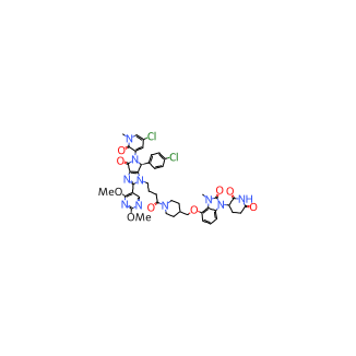 COc1ncc(-c2nc3c(n2CCCC(=O)N2CCC(COc4cccc5c4n(C)c(=O)n5C4CCC(=O)NC4=O)CC2)[C@H](c2ccc(Cl)cc2)N(c2cc(Cl)cn(C)c2=O)C3=O)c(OC)n1